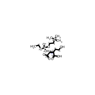 CCOP(=O)(O)OCC[N+](C)(C)C.O=C([O-])/C=C(/CCO)C(=O)O